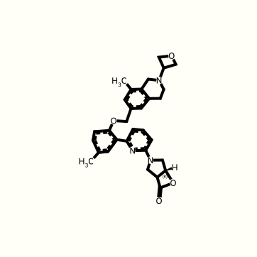 Cc1ccc(OCc2cc(C)c3c(c2)CCN(C2COC2)C3)c(-c2cccc(N3CC4C(=O)O[C@H]4C3)n2)c1